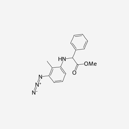 COC(=O)C(Nc1cccc(N=[N+]=[N-])c1C)c1ccccc1